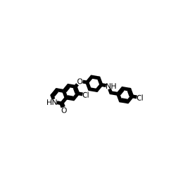 O=c1[nH]ccc2cc(OC3CCC(NCc4ccc(Cl)cc4)CC3)c(Cl)cc12